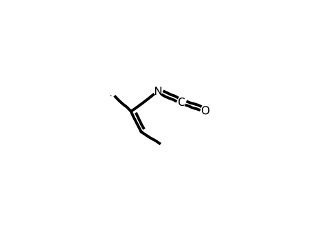 [CH2]C(=CC)N=C=O